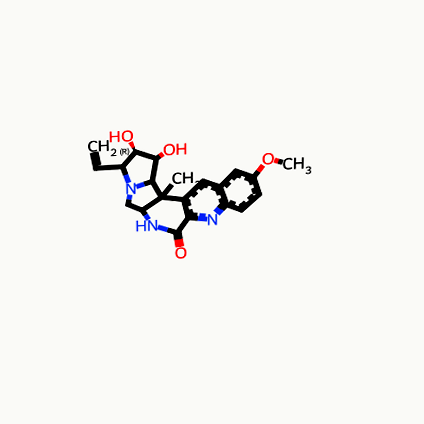 C=CC1[C@@H](O)C(O)C2N1CC1NC(=O)c3nc4ccc(OC)cc4cc3C12C